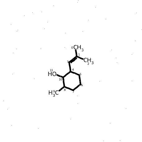 CC(C)=CC1CCCC(C)C1O